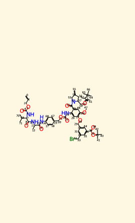 C=CCOC(=O)NC(C(=O)NC(C)C(=O)Nc1ccc(COC(=O)Nc2cc(OCc3cc(CBr)cc(C(=O)OC(C)(C)C)c3)c(OC)cc2C(=O)N2CC(=C)CC2CO[Si](C)(C)C(C)(C)C)cc1)C(C)C